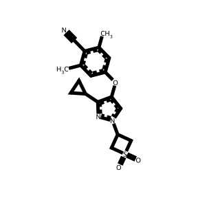 Cc1cc(Oc2cn(C3CS(=O)(=O)C3)nc2C2CC2)cc(C)c1C#N